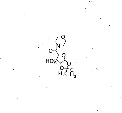 CC1(C)OC2OC(C(=O)N3CCOCC3)[C@@H](O)C2O1